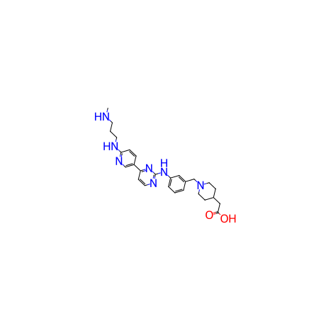 CNCCCNc1ccc(-c2ccnc(Nc3cccc(CN4CCC(CC(=O)O)CC4)c3)n2)cn1